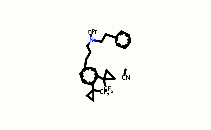 CC#N.CCCN(CCCc1ccc(C2(C(F)(F)F)CC2)c(C2(C(F)(F)F)CC2)c1)CCc1ccccc1